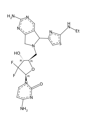 CCNc1nc(C2c3cnc(N)nc3CN2C[C@H]2O[C@@H](n3ccc(N)nc3=O)C(F)(F)[C@@H]2O)cs1